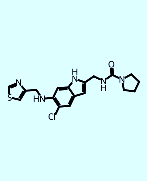 O=C(NCc1cc2cc(Cl)c(NCc3cscn3)cc2[nH]1)N1CCCC1